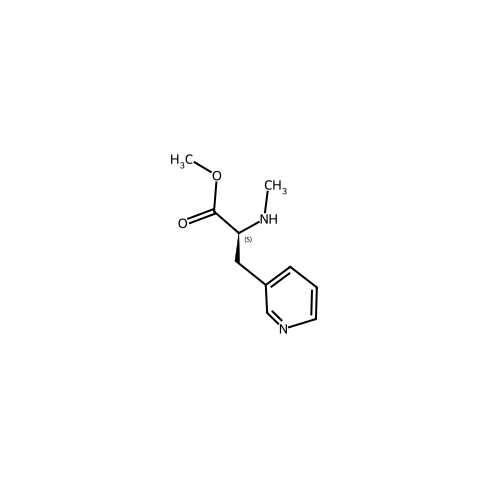 CN[C@@H](Cc1cccnc1)C(=O)OC